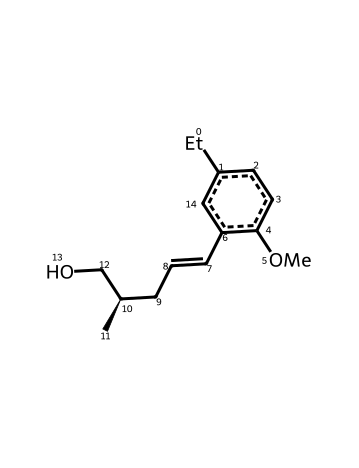 CCc1ccc(OC)c(/C=C/C[C@@H](C)CO)c1